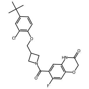 CC(C)(C)c1ccc(OCC2CN(C(=O)c3cc4c(cc3F)OCC(=O)N4)C2)c(Cl)c1